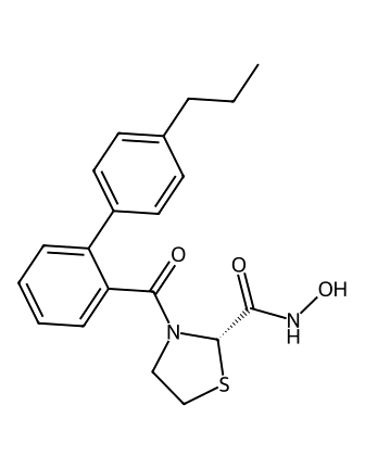 CCCc1ccc(-c2ccccc2C(=O)N2CCS[C@H]2C(=O)NO)cc1